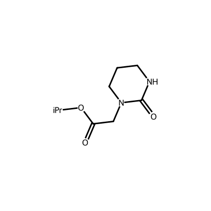 CC(C)OC(=O)CN1CCCNC1=O